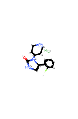 Cl.O=C1NCC(c2ccccc2F)N1C1CCNCC1